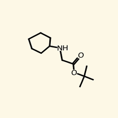 CC(C)(C)OC(=O)CNC1CCCCC1